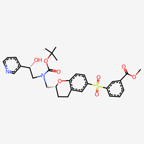 COC(=O)c1cccc(S(=O)(=O)c2ccc3c(c2)CC[C@H](CN(C[C@@H](O)c2cccnc2)C(=O)OC(C)(C)C)O3)c1